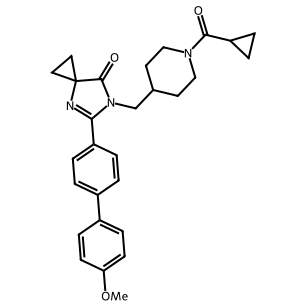 COc1ccc(-c2ccc(C3=NC4(CC4)C(=O)N3CC3CCN(C(=O)C4CC4)CC3)cc2)cc1